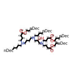 CCCCCCCCCCCCCCN(CCCCN(CCCCCCCCCCCCCC)CC(O)CN(CCCC(=O)OCCCCCCCCCCCC)CCCC(=O)OCCCCCCCCCCCCC)CCCC(=O)OCCCCCCCCCCCC